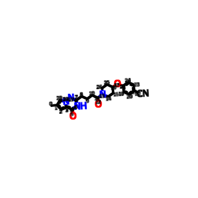 Cc1cc2c(=O)[nH]c(CCCC(=O)N3CCC(Oc4ccc(C#N)cc4)CC3)nn2c1